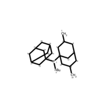 CCCCP(C12CC(C)CC(CC(C)C1)C2)C12CC3CC(CC(C3)C1)C2